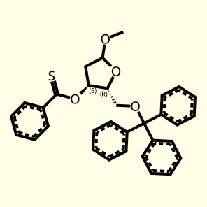 COC1C[C@H](OC(=S)c2ccccc2)[C@@H](COC(c2ccccc2)(c2ccccc2)c2ccccc2)O1